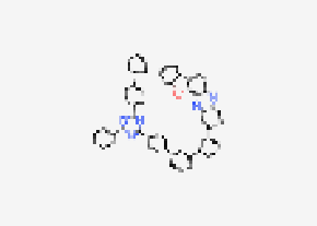 c1ccc(-c2ccc(-c3nc(-c4ccccc4)nc(-c4ccc(-c5cccc(-c6cccc(-c7ccc8nc9ccc%10c%11ccccc%11oc%10c9nc8c7)c6)c5)cc4)n3)cc2)cc1